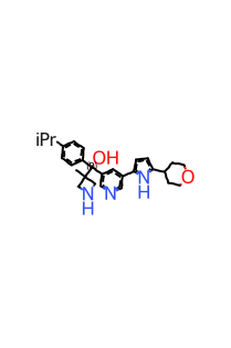 CC(C)c1ccc([C@](O)(c2cncc(-c3ccc(C4CCOCC4)[nH]3)c2)C2(C)CNC2)cc1